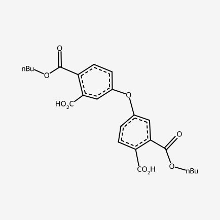 CCCCOC(=O)c1ccc(Oc2ccc(C(=O)O)c(C(=O)OCCCC)c2)cc1C(=O)O